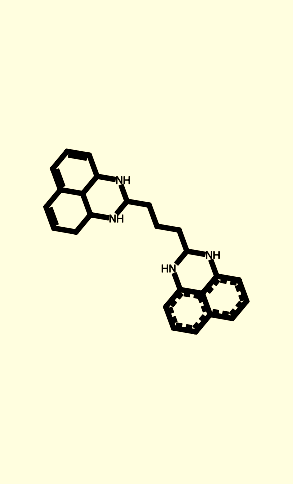 C1=CC2NC(CCCC3Nc4cccc5cccc(c45)N3)NC3CC=CC(=C1)C23